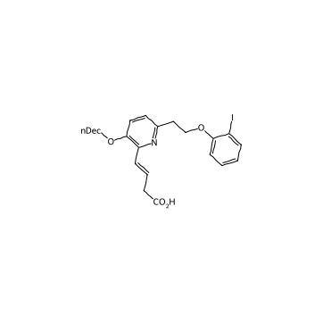 CCCCCCCCCCOc1ccc(CCOc2ccccc2I)nc1C=CCC(=O)O